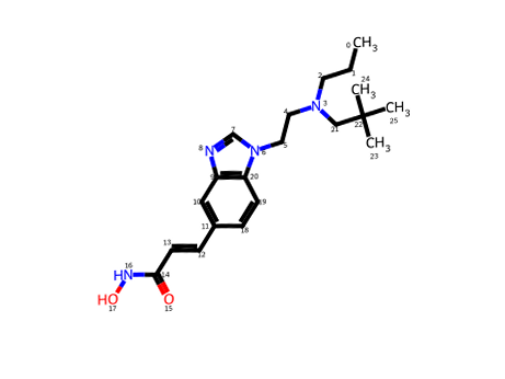 CCCN(CCn1cnc2cc(C=CC(=O)NO)ccc21)CC(C)(C)C